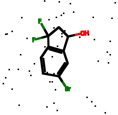 OC1CC(F)(F)c2ccc(Br)cc21